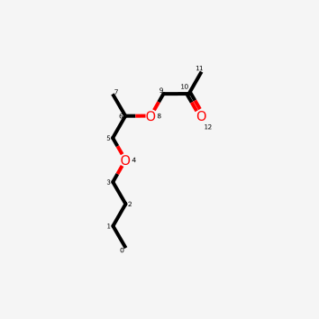 CCCCOCC(C)OCC(C)=O